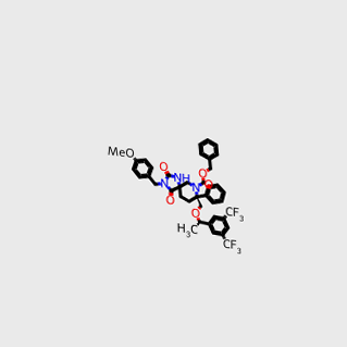 COc1ccc(CN2C(=O)NC3(CC[C@@](CO[C@H](C)c4cc(C(F)(F)F)cc(C(F)(F)F)c4)(c4ccccc4)N(C(=O)OCc4ccccc4)C3)C2=O)cc1